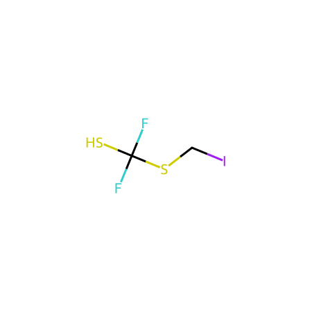 FC(F)(S)SCI